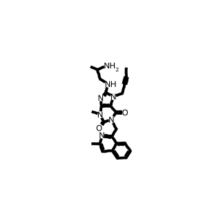 CC#CCn1c(NCC(C)N)nc2c1c(=O)n(Cc1nc(C)cc3ccccc13)c(=O)n2C